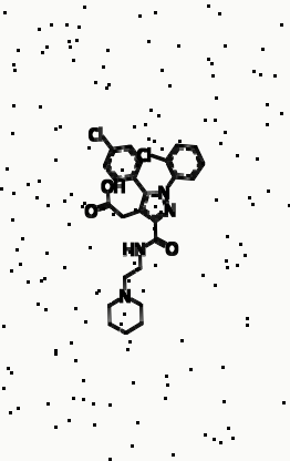 O=C(O)Cc1c(C(=O)NCCN2CCCCC2)nn(-c2ccccc2Cl)c1-c1ccc(Cl)cc1